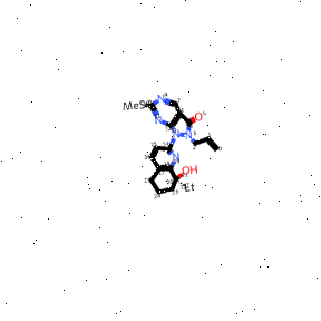 C=CCn1c(=O)c2cnc(SC)nc2n1-c1ccc2c(n1)[C@](O)(CC)CCC2